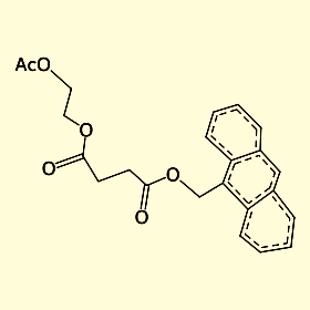 CC(=O)OCCOC(=O)CCC(=O)OCc1c2ccccc2cc2ccccc12